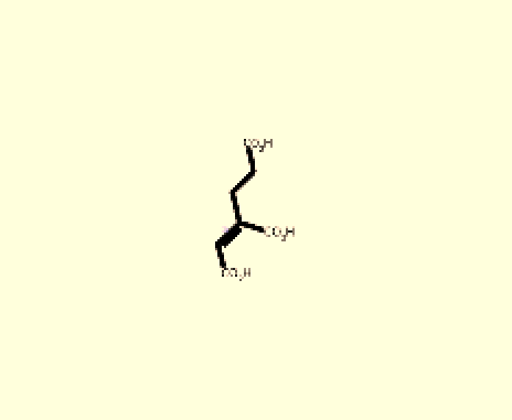 O=C(O)/C=C(/CCC(=O)O)C(=O)O